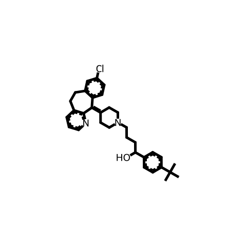 CC(C)(C)c1ccc(C(O)CCCN2CCC(=C3c4ccc(Cl)cc4CCc4cccnc43)CC2)cc1